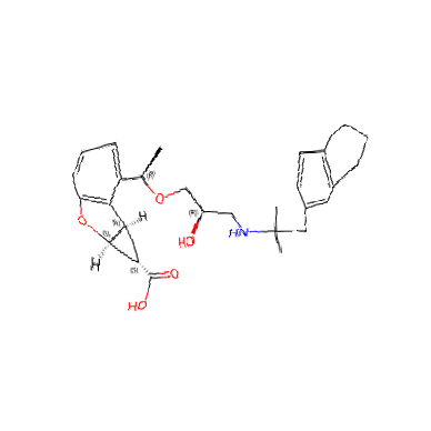 C[C@@H](OC[C@H](O)CNC(C)(C)Cc1ccc2c(c1)CCC2)c1cccc2c1[C@@H]1[C@H](O2)[C@H]1C(=O)O